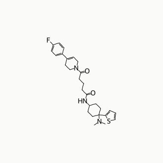 CN(C)C1(c2cccs2)CCC(NC(=O)CCCC(=O)N2CC=C(c3ccc(F)cc3)CC2)CC1